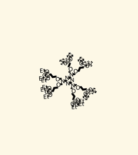 CCO[Si](CCCOCN(COCCC[Si](C)(O[Si](C)(C)C)O[Si](C)(C)C)c1nc(N(COCCC[Si](OCC)(OCC)OCC)COCCC[Si](OCC)(OCC)OCC)nc(N(COCCC[Si](C)(O[Si](C)(C)C)O[Si](C)(C)C)COCC[Si](C)(O[Si](C)(C)C)O[Si](C)(C)C)n1)(OCC)OCC